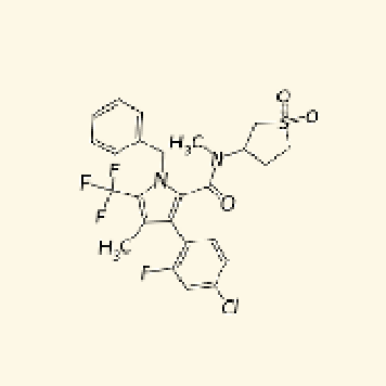 Cc1c(-c2ccc(Cl)cc2F)c(C(=O)N(C)C2CCS(=O)(=O)C2)n(Cc2ccccc2)c1C(F)(F)F